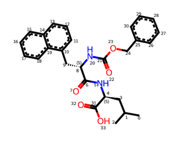 CC(C)C[C@H](NC(=O)[C@H](Cc1cccc2ccccc12)NC(=O)OCc1ccccc1)C(=O)O